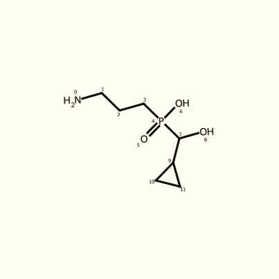 NCCCP(=O)(O)C(O)C1CC1